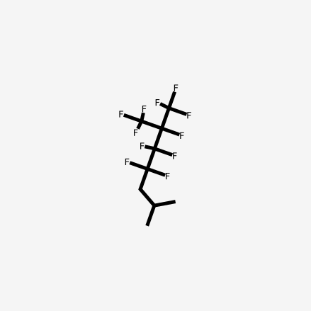 CC(C)CC(F)(F)C(F)(F)C(F)(C(F)(F)F)C(F)(F)F